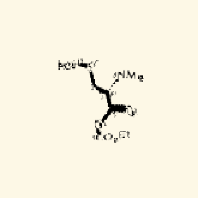 CCOC(=O)OC(=O)[C@H](CSNC(C)=O)NC